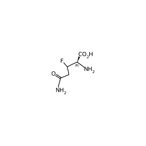 NC(=O)CC(F)[C@H](N)C(=O)O